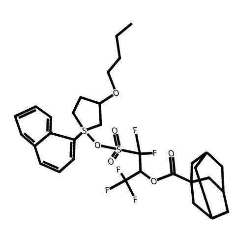 CCCCOC1CCS(OS(=O)(=O)C(F)(F)C(OC(=O)C23CC4CC(CC(C4)C2)C3)C(F)(F)F)(c2cccc3ccccc23)C1